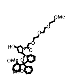 COCCOCCOCCOCC(=O)N1CC(O)CC1COC(c1ccccc1)(c1ccccc1OC)c1ccccc1OC